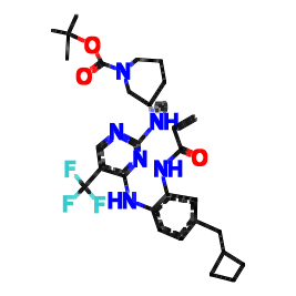 C=CC(=O)Nc1cc(CC2CCC2)ccc1Nc1nc(N[C@H]2CCCN(C(=O)OC(C)(C)C)C2)ncc1C(F)(F)F